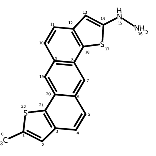 Cc1cc2ccc3cc4c(ccc5cc(NN)sc54)cc3c2s1